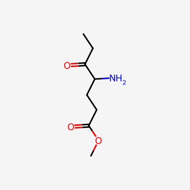 CCC(=O)C(N)CCC(=O)OC